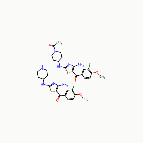 COc1ccc(C(=O)c2sc(NC3CCN(C(C)=O)CC3)nc2N)cc1F.COc1ccc(C(=O)c2sc(NC3CCNCC3)nc2N)cc1F